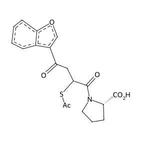 CC(=O)SC(CC(=O)c1coc2ccccc12)C(=O)N1CCC[C@H]1C(=O)O